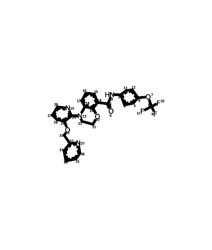 O=C(Nc1ccc(OC(F)(F)F)cc1)c1cccc2c1OCCN2c1ncccc1OCc1ccccn1